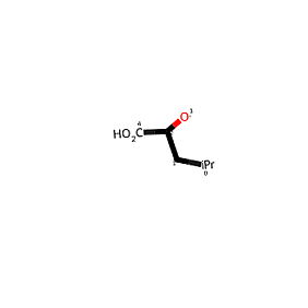 CC(C)CC([O])C(=O)O